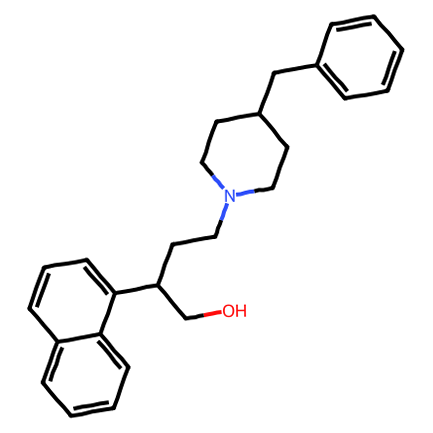 OCC(CCN1CCC(Cc2ccccc2)CC1)c1cccc2ccccc12